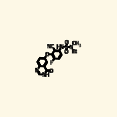 CCN(C)S(=O)(=O)Nc1ccc(F)c(Oc2ccc3nc[nH]c(=O)c3c2)c1C#N